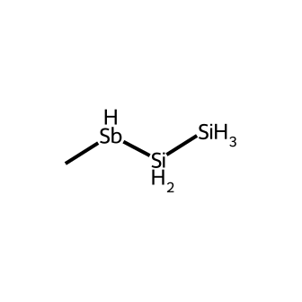 [CH3][SbH][SiH2][SiH3]